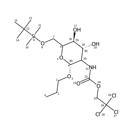 CCCO[C@@H]1OC(CO[Si](C)(C)C(C)(C)C)[C@@H](O)[C@H](O)C1NC(=O)OCC(Cl)(Cl)Cl